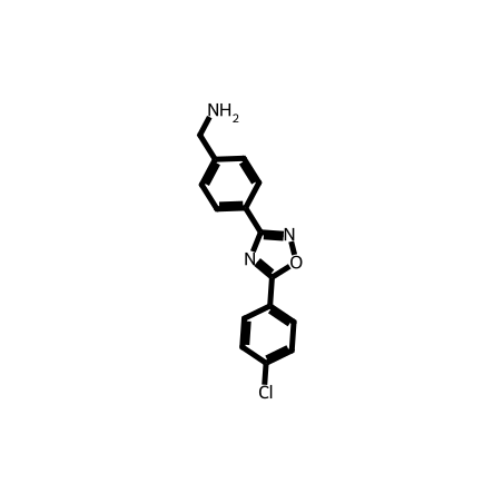 NCc1ccc(-c2noc(-c3ccc(Cl)cc3)n2)cc1